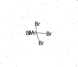 [Br][Mn]([Br])([Br])[Br]